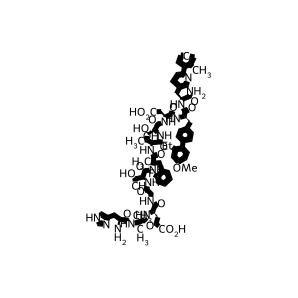 CCc1cc(OC)ccc1-c1ccc(C[C@H](NC(=O)[C@H](CC(=O)O)NC(=O)[C@H](CO)NC(=O)[C@@H](NC(=O)C(C)(Cc2ccccc2F)NC(=O)[C@@H](NC(=O)CNC(=O)[C@H](CCC(=O)O)NC(=O)C(C)(C)NC(=O)[C@@H](N)Cc2c[nH]cn2)C(C)O)C(C)O)C(=O)N[C@@H](Cc2ccc(-c3ccccc3C)nc2)C(N)=O)cc1